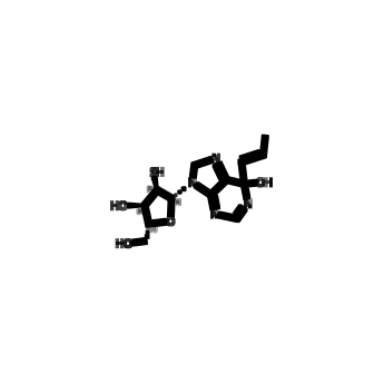 CC=CC1(O)N=CN=C2C1=NCN2[C@@H]1O[C@H](CO)[C@@H](O)[C@H]1S